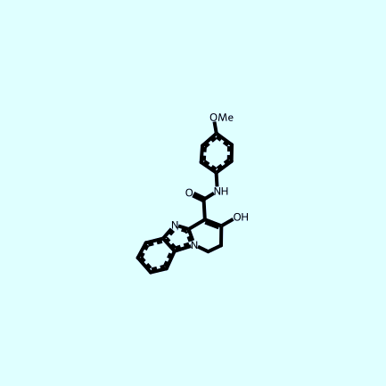 COc1ccc(NC(=O)C2=C(O)CCn3c2nc2ccccc23)cc1